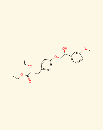 CCOC(=O)[C@@H](Cc1ccc(OC[C@@H](O)c2cccc(OC)c2)cc1)OCC